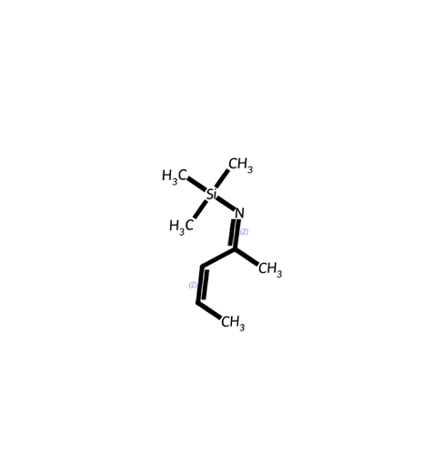 C/C=C\C(C)=N/[Si](C)(C)C